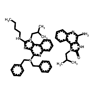 CC(C)Cn1c(=O)[nH]c2c(N)nc3ccccc3c21.CCCCNc1nc2c(N(Cc3ccccc3)Cc3ccccc3)nc3ccccc3c2n1CC(C)C